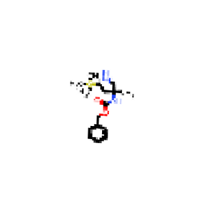 CC(CN)(CCS(C)(C)C)NC(=O)OCc1ccccc1